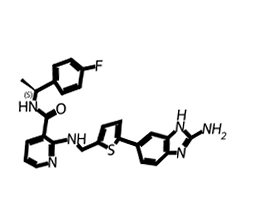 C[C@H](NC(=O)c1cccnc1NCc1ccc(-c2ccc3nc(N)[nH]c3c2)s1)c1ccc(F)cc1